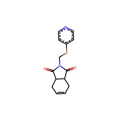 O=C1C2CC=CCC2C(=O)N1CSc1ccncc1